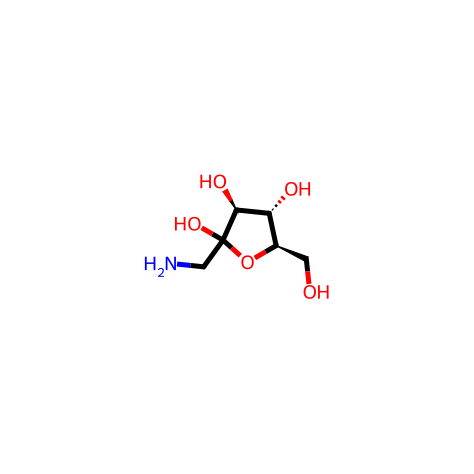 NCC1(O)O[C@H](CO)[C@@H](O)[C@@H]1O